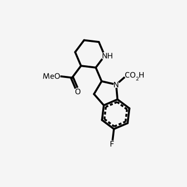 COC(=O)C1CCCNC1C1Cc2cc(F)ccc2N1C(=O)O